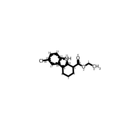 CCOC(=O)C1CCCc2c1[nH]c1ccc(Cl)cc21